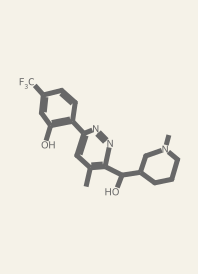 Cc1cc(-c2ccc(C(F)(F)F)cc2O)nnc1C(O)C1CCCN(C)C1